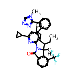 CCCCC(CC)C1(C)c2c(cccc2C(F)(F)F)C(=O)N1c1cc(-c2ccccc2-c2nncn2C)cc(C2CC2)n1